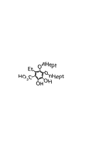 CCCCCCCOc1c(O)c(O)c(C(=O)O)c(CC)c1OCCCCCCC